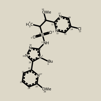 CCC(C)n1c(NS(=O)(=O)C(C)C(OC)c2ncc(Cl)cn2)nnc1-c1cccc(OC)n1